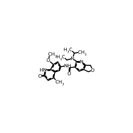 CCN(c1nc2c(cc1C(=O)Nc1cc(OC)c3[nH]c(=O)cc(C)c3c1)COC2)C(C)C